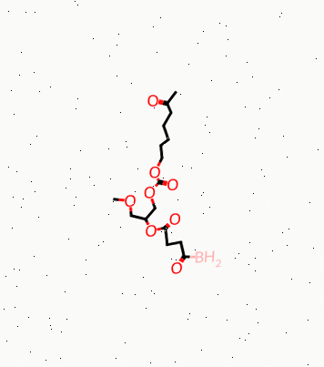 BC(=O)CCC(=O)OC(COC)COC(=O)OCCCCCC(C)=O